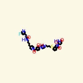 O=C(/C=C/c1cncc(F)c1)NCCCCC1CCN(C(=O)c2ccc(N3CCN(CCCCSc4cccc5c4CN(C4CCC(=O)NC4=O)C5=O)CC3)c(O)c2)CC1